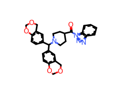 O=C(C1CCN(C(c2ccc3c(c2)COCO3)c2ccc3c(c2)COCO3)CC1)n1nnc2ccccc21